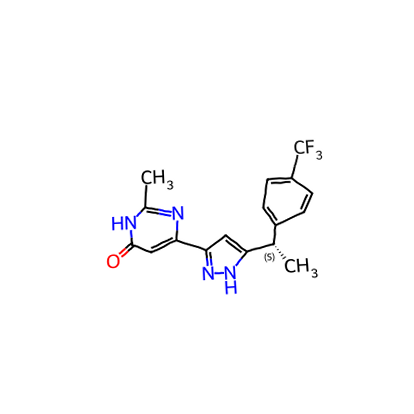 Cc1nc(-c2cc([C@@H](C)c3ccc(C(F)(F)F)cc3)[nH]n2)cc(=O)[nH]1